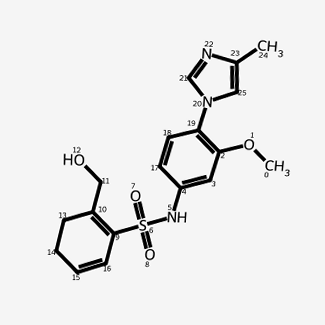 COc1cc(NS(=O)(=O)C2=C(CO)CCC=C2)ccc1-n1cnc(C)c1